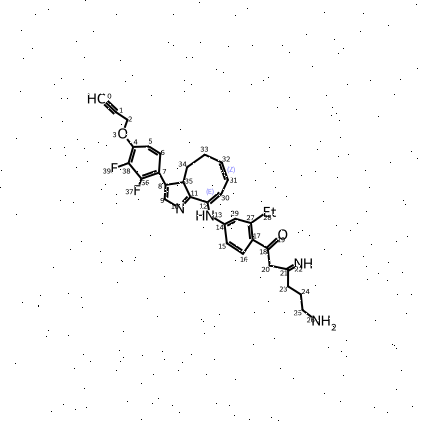 C#CCOc1ccc(C2=CN=C3/C(Nc4ccc(C(=O)CC(=N)CCCN)c(CC)c4)=C\C=C/CCC23)c(F)c1F